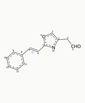 O=CCc1coc(/C=C/c2ccccc2)n1